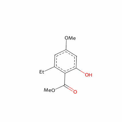 CCc1cc(OC)cc(O)c1C(=O)OC